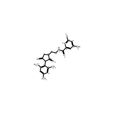 Cc1cc(C)c(C2C(=O)CC(CCNC(=O)c3cc(O)cc(Cl)n3)C2=O)c(C)c1